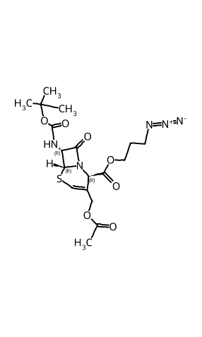 CC(=O)OCC1=CS[C@@H]2[C@H](NC(=O)OC(C)(C)C)C(=O)N2[C@H]1C(=O)OCCCN=[N+]=[N-]